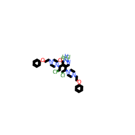 Cl.Cl.O=c1[nH]ncc(C(CCl)N2CCN(CCOc3ccccc3)CC2)c1C(CCl)N1CCN(CCOc2ccccc2)CC1